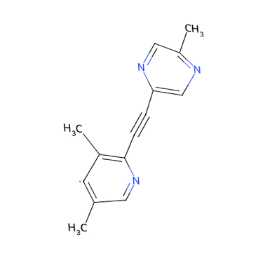 Cc1[c]c(C)c(C#Cc2cnc(C)cn2)nc1